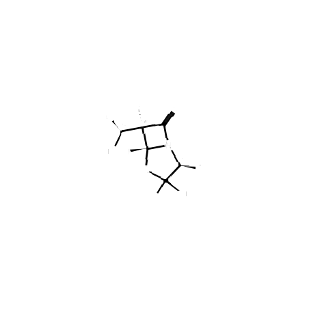 C[C@@H]1N2C(=O)[C@](Br)([C@H](C)O)[C@H]2SC1(C)C